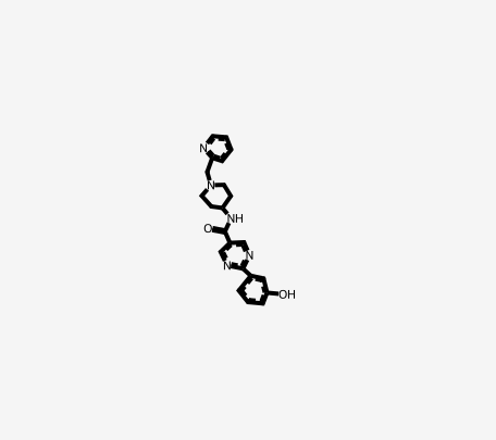 O=C(NC1CCN(Cc2ccccn2)CC1)c1cnc(-c2cccc(O)c2)nc1